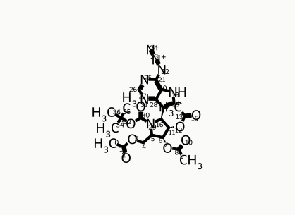 CC(=O)OCC1[C@@H](OC(C)=O)[C@@H](OC(C)=O)[C@H](c2c[nH]c3c(N=[N+]=[N-])ncnc23)N1C(=O)OC(C)(C)C